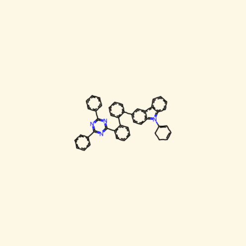 C1=CCCC(n2c3ccccc3c3cc(-c4ccccc4-c4ccccc4-c4nc(-c5ccccc5)nc(-c5ccccc5)n4)ccc32)=C1